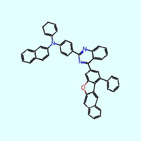 C1=CC(N(c2ccc(-c3nc(-c4cc(-c5ccccc5)c5c(c4)oc4cc6ccccc6cc45)c4ccccc4n3)cc2)c2ccc3ccccc3c2)=CCC1